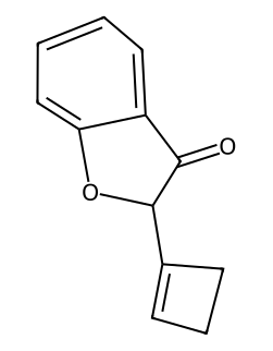 O=C1c2ccccc2OC1C1=CCC1